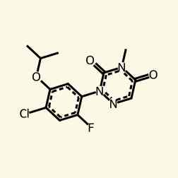 CC(C)Oc1cc(-n2ncc(=O)n(C)c2=O)c(F)cc1Cl